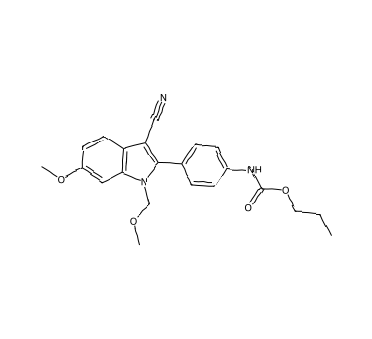 CCCOC(=O)Nc1ccc(-c2c(C#N)c3ccc(OC)cc3n2COC)cc1